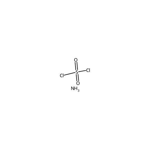 N.O=S(=O)(Cl)Cl